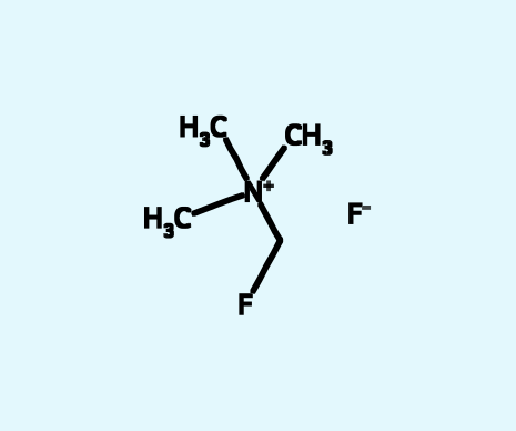 C[N+](C)(C)CF.[F-]